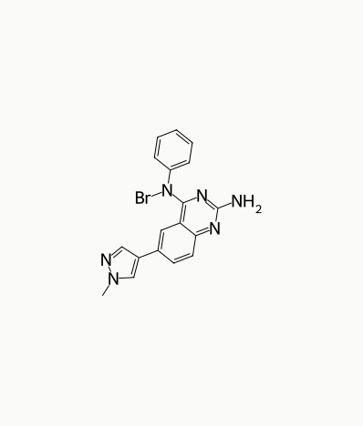 Cn1cc(-c2ccc3nc(N)nc(N(Br)c4ccccc4)c3c2)cn1